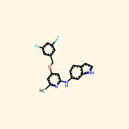 N#Cc1cc(OCc2cc(F)cc(F)c2)cc(Nc2ccc3cc[nH]c3c2)n1